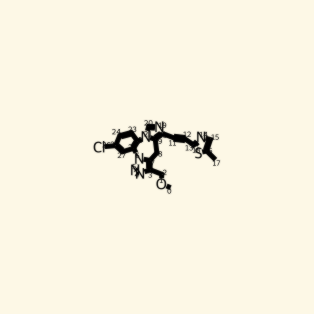 COCc1nnn2c1Cc1c(C#Cc3ncc(C)s3)ncn1-c1ccc(Cl)cc1-2